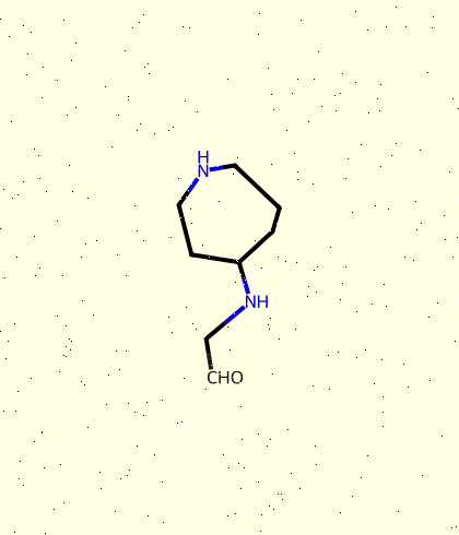 O=CCNC1CCCNCC1